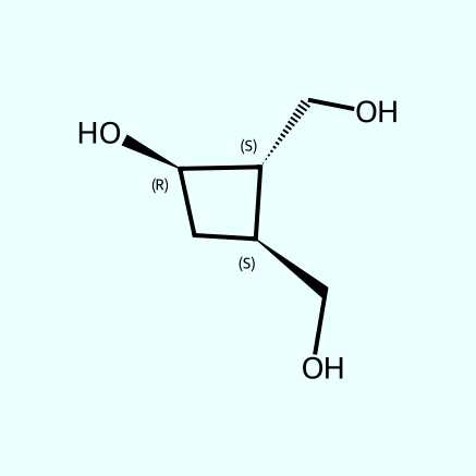 OC[C@H]1C[C@@H](O)[C@@H]1CO